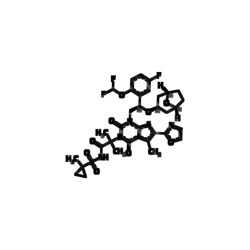 Cc1c(-c2ncco2)sc2c1c(=O)n(C(C)(C)C(=O)NS(=O)(=O)C1(C)CC1)c(=O)n2C[C@H](O[C@@H]1C[C@H]2CC[C@@H](C1)O2)c1cc(F)ccc1OC(F)F